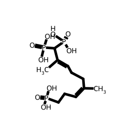 CC(=CCCP(=O)(O)O)CCC=C(C)C(P(=O)(O)O)P(=O)(O)O